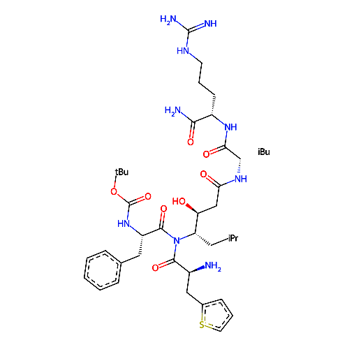 CC[C@H](C)[C@H](NC(=O)C[C@H](O)[C@H](CC(C)C)N(C(=O)[C@H](Cc1ccccc1)NC(=O)OC(C)(C)C)C(=O)[C@@H](N)Cc1cccs1)C(=O)N[C@@H](CCCNC(=N)N)C(N)=O